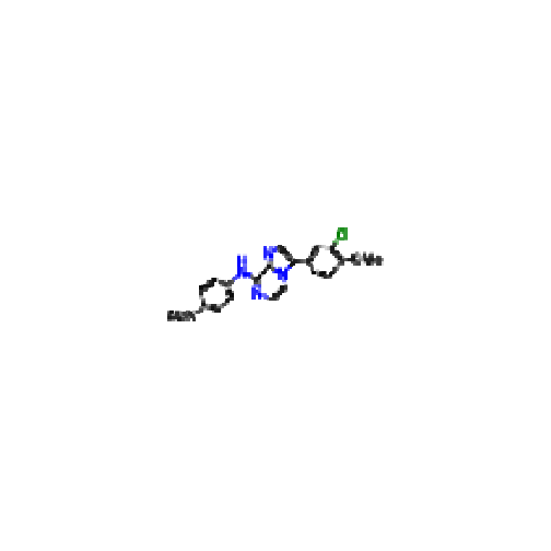 CNc1ccc(Nc2nccn3c(-c4ccc(OC)c(Cl)c4)cnc23)cc1